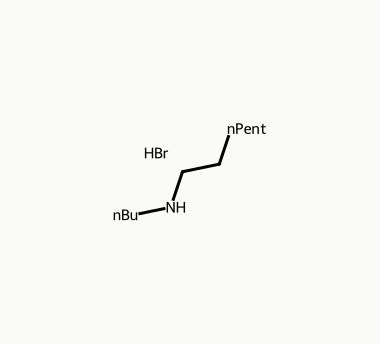 Br.CCCCCCCNCCCC